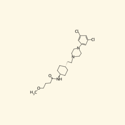 COCCCC(=O)N[C@H]1CC[C@H](CCN2CCN(c3cc(Cl)cc(Cl)c3)CC2)CC1